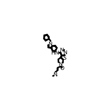 CN(C)CC=CC(=O)N1CCc2c(sc3ncnc(Nc4ccc5c(ccn5Cc5ccccc5)c4)c23)C1